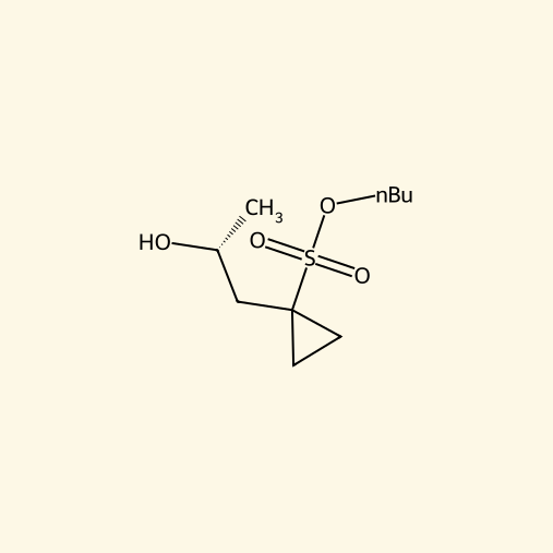 CCCCOS(=O)(=O)C1(C[C@@H](C)O)CC1